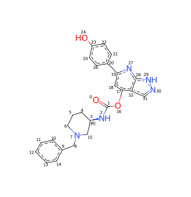 O=C(N[C@@H]1CCCN(Cc2ccccc2)C1)Oc1cc(-c2ccc(O)cc2)nc2[nH]ncc12